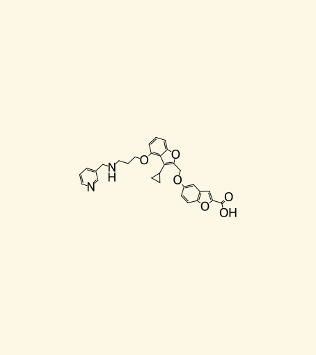 O=C(O)c1cc2cc(OCc3oc4cccc(OCCCNCc5cccnc5)c4c3C3CC3)ccc2o1